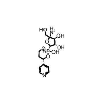 N[C@]1(CO)O[C@@H]([PH]2(O)OCC[C@@H](c3ccncc3)O2)[C@@H](O)[C@@H]1O